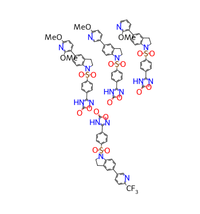 COc1ccc(-c2ccc3c(c2)CCN3S(=O)(=O)c2ccc(-c3noc(=O)[nH]3)cc2)c(OC)n1.COc1ccc(-c2ccc3c(c2)CCN3S(=O)(=O)c2ccc(-c3noc(=O)[nH]3)cc2)cn1.COc1ncccc1-c1ccc2c(c1)CCN2S(=O)(=O)c1ccc(-c2noc(=O)[nH]2)cc1.O=c1[nH]c(-c2ccc(S(=O)(=O)N3CCc4cc(-c5ccc(C(F)(F)F)nc5)ccc43)cc2)no1